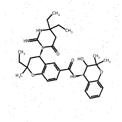 CCC1(CC)CC(=O)N([C@@H]2CC(C)(CC)Oc3ccc(C(=O)N[C@@H]4c5ccccc5OC(C)(C)C4O)cc32)C(=N)N1